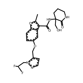 Cc1oc2ccc(OCc3ccnn3CC(F)F)cc2c1C(=O)NC1(CO)CCCNC1=O